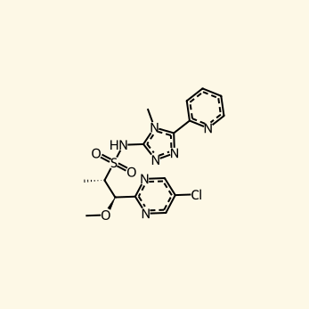 CO[C@H](c1ncc(Cl)cn1)[C@H](C)S(=O)(=O)Nc1nnc(-c2ccccn2)n1C